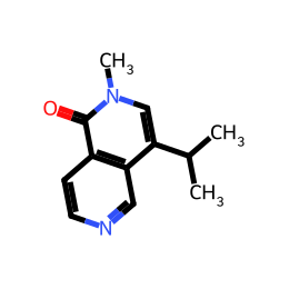 CC(C)c1cn(C)c(=O)c2ccncc12